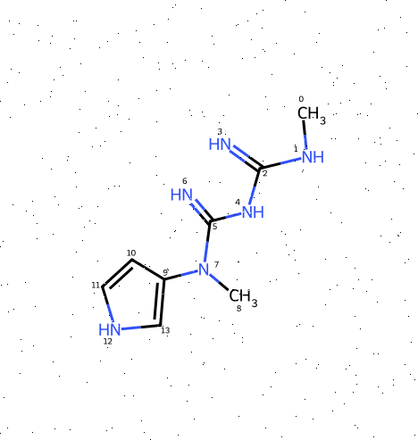 CNC(=N)NC(=N)N(C)c1cc[nH]c1